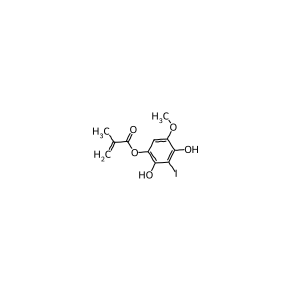 C=C(C)C(=O)Oc1cc(OC)c(O)c(I)c1O